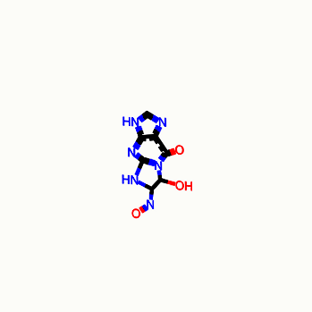 O=NC1Nc2nc3[nH]cnc3c(=O)n2C1O